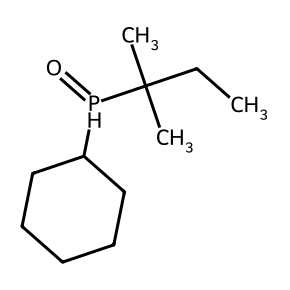 CCC(C)(C)[PH](=O)C1CCCCC1